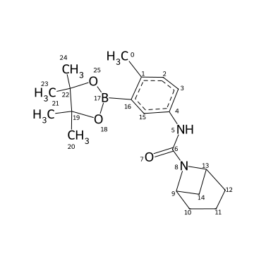 Cc1ccc(NC(=O)N2C3CCCC2C3)cc1B1OC(C)(C)C(C)(C)O1